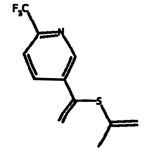 C=C(C)SC(=C)c1ccc(C(F)(F)F)nc1